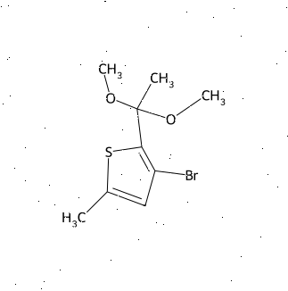 COC(C)(OC)c1sc(C)cc1Br